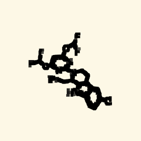 CC(C)CC1c2[nH]c3ccc(Cl)cc3c2CCN1c1nc(OC(F)F)cc(OC(F)F)n1